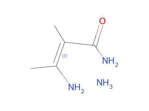 C/C(N)=C(\C)C(N)=O.N